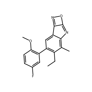 CCc1c(-c2cc(F)ccc2OC)cc2c(c1C)N=C1ON=C12